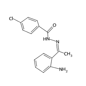 CC(=NNC(=O)c1ccc(Cl)cc1)c1ccccc1N